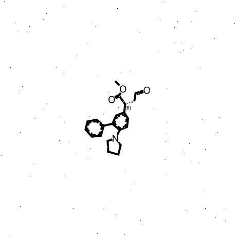 COC(=O)[C@H](CC=O)c1ccc(N2CCCC2)c(-c2ccccc2)c1